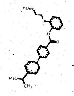 CCCCCCCCCCCCOc1ccccc1OC(=O)c1ccc(-c2ccc(C(C)OC)cc2)cc1